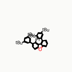 CC(C)c1c(-c2cc(C(C)(C)C)cc(C(C)(C)C)c2)ccc2oc3cccc(-c4cc(C(C)(C)C)cc(C(C)(C)C)c4)c3c12